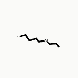 [CH2]CCCC=NCCC